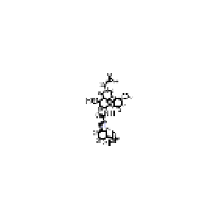 COc1cccc(C23CCN(CC4CC4)CC2C(O)CC(NC(=O)/C=C/c2cccc(C(F)(F)F)c2)C3)c1